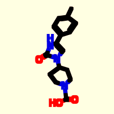 Cc1ccc(-c2cn(C3CCN(C(=O)O)CC3)c(=O)[nH]2)cc1